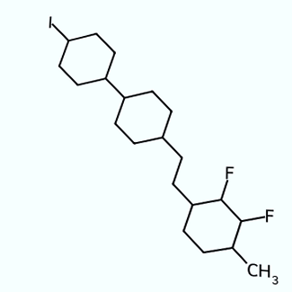 CC1CCC(CCC2CCC(C3CCC(I)CC3)CC2)C(F)C1F